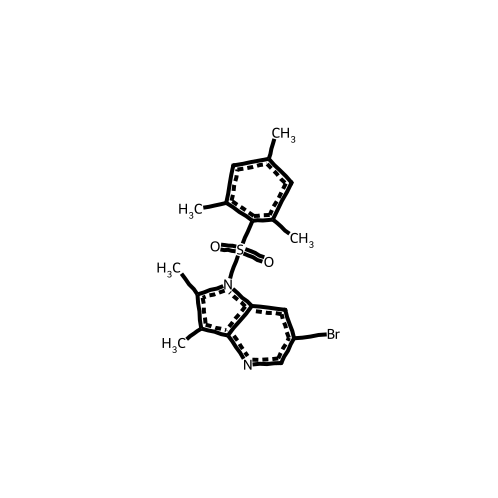 Cc1cc(C)c(S(=O)(=O)n2c(C)c(C)c3ncc(Br)cc32)c(C)c1